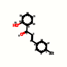 CCc1ccc(C=CC(=O)c2ccccc2O)cc1